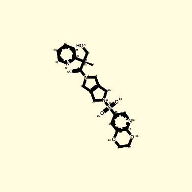 C[C@@](CO)(C(=O)N1CC2=C(C1)CN(S(=O)(=O)c1cnc3c(c1)OCCO3)C2)c1ccccn1